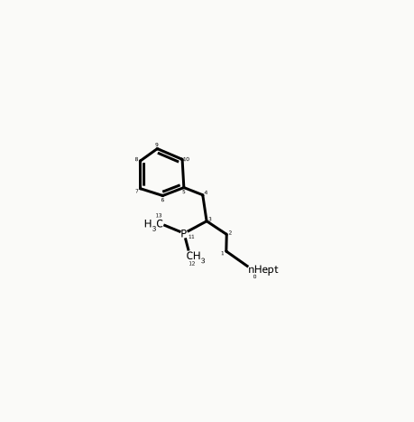 CCCCCCCCCC(Cc1ccccc1)P(C)C